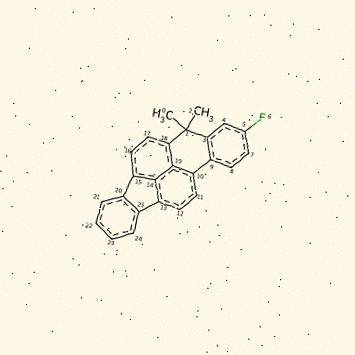 CC1(C)c2cc(F)ccc2-c2ccc3c4c(ccc1c24)-c1ccccc1-3